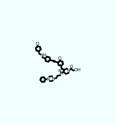 O=C(CO)N1CCc2c(c(-c3ccc(Cl)c(C#Cc4ccc(CNCc5ccc(Cl)cc5)cc4)c3)nn2CCCN2CCN(c3ccccc3)CC2)C1